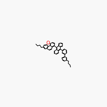 CCCCc1cccc(-c2cccc(-c3c4ccccc4c(-c4ccc5oc6cc(CCCC)cc7ccc4c5c76)c4ccccc34)c2)c1